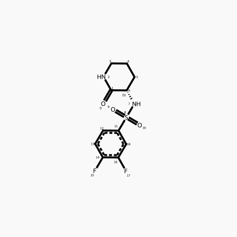 O=C1NCCC[C@@H]1NS(=O)(=O)c1ccc(F)c(F)c1